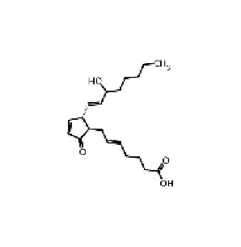 CCCCCC(O)C=C[C@H]1C=CC(=O)[C@@H]1CC=CCCCC(=O)O